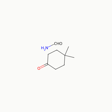 CC1(C)CCC(=O)CC1.NC=O